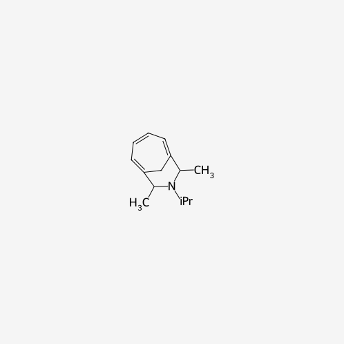 CC(C)N1C(C)C2=CC=CC=C(C2)C1C